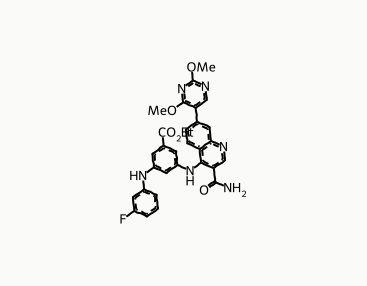 CCOC(=O)c1cc(Nc2cccc(F)c2)cc(Nc2c(C(N)=O)cnc3cc(-c4cnc(OC)nc4OC)ccc23)c1